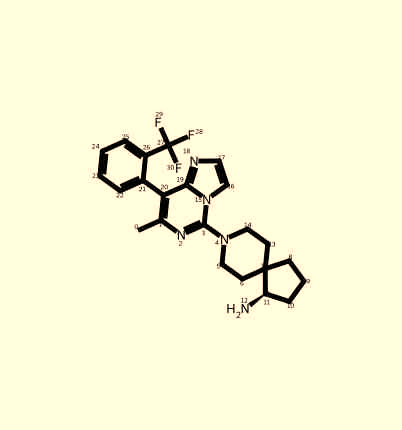 Cc1nc(N2CCC3(CCC[C@H]3N)CC2)n2ccnc2c1-c1ccccc1C(F)(F)F